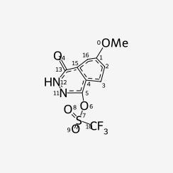 COc1ccc2c(OS(=O)(=O)C(F)(F)F)n[nH]c(=O)c2c1